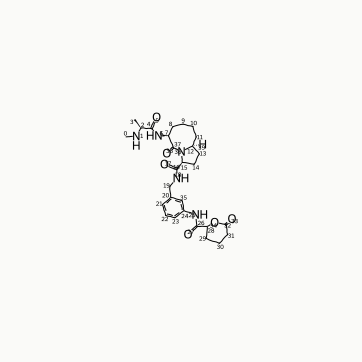 CN[C@@H](C)C(=O)N[C@H]1CCCC[C@H]2CC[C@@H](C(=O)NCc3cccc(NC(=O)C4CCCC(=O)O4)c3)N2C1=O